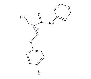 CC/C(=C\Oc1ccc(Cl)cc1)C(=O)Nc1ccccc1